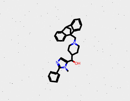 Cn1c(C(O)C2CCN(CC34CC(c5ccccc53)c3ccccc34)CC2)cnc1-c1ccccc1